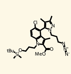 COC(=O)c1c(C)c2c(-c3c(C)c(C)nn3CCCN=[N+]=[N-])c(Cl)ccc2n1CCCO[Si](C)(C)C(C)(C)C